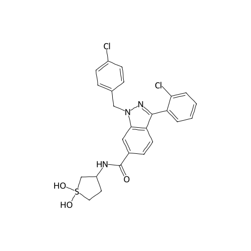 O=C(NC1CCS(O)(O)C1)c1ccc2c(-c3ccccc3Cl)nn(Cc3ccc(Cl)cc3)c2c1